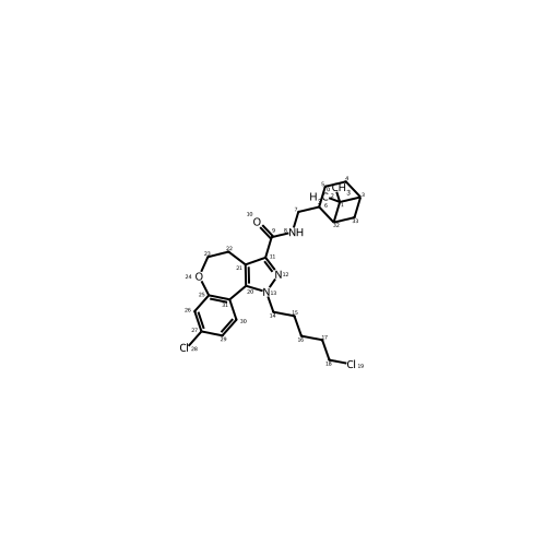 CC1(C)C2CCC(CNC(=O)c3nn(CCCCCCl)c4c3CCOc3cc(Cl)ccc3-4)C1C2